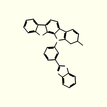 CC1C=Cc2c(n(-c3cccc(-c4nc5ccccc5o4)c3)c3c2ccc2c4ccccc4[nH]c23)C1